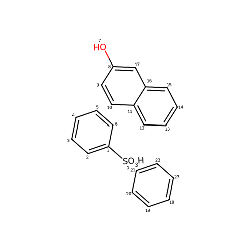 O=S(=O)(O)c1ccccc1.Oc1ccc2ccccc2c1.c1ccccc1